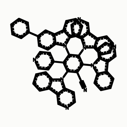 N#Cc1c(-n2c3ccccc3c3cnccc32)c(-c2ccncc2)c(-n2c3ccccc3c3cc(-c4ccccc4)ccc32)c(-n2c3ccccc3c3cnccc32)c1-n1c2ccccc2c2cnccc21